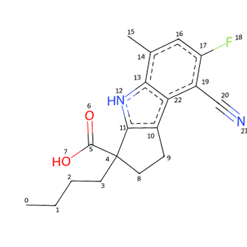 CCCCC1(C(=O)O)CCc2c1[nH]c1c(C)cc(F)c(C#N)c21